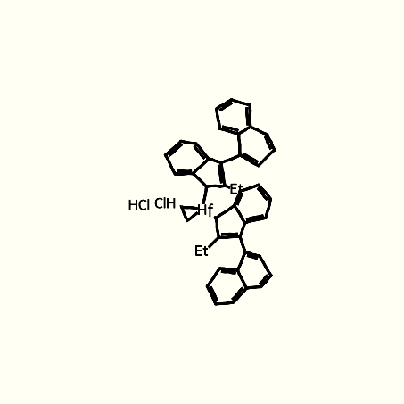 CCC1=C(c2cccc3ccccc23)c2ccccc2[CH]1[Hf]1([CH]2C(CC)=C(c3cccc4ccccc34)c3ccccc32)[CH2][CH2]1.Cl.Cl